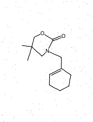 CC1(C)COC(=O)N(CC2=CCCCC2)C1